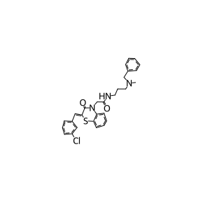 CN(CCCNC(=O)CN1C(=O)C(=Cc2cccc(Cl)c2)Sc2ccccc21)Cc1ccccc1